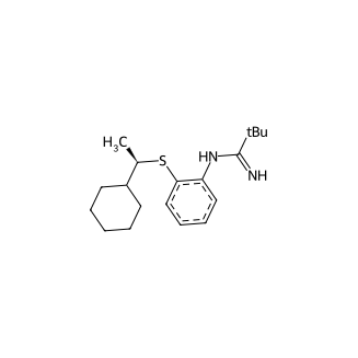 C[C@@H](Sc1ccccc1NC(=N)C(C)(C)C)C1CCCCC1